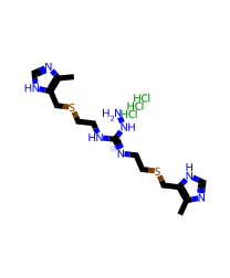 Cc1nc[nH]c1CSCC/N=C(\NN)NCCSCc1[nH]cnc1C.Cl.Cl.Cl